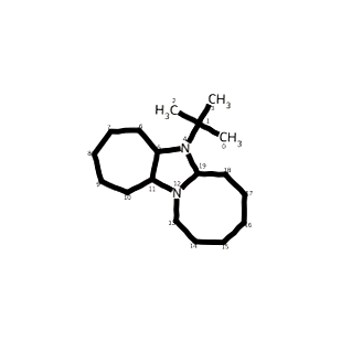 CC(C)(C)N1C2CCCCCC2N2CCCCCCC21